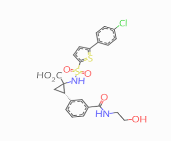 O=C(NCCO)c1cccc([C@@H]2CC2(NS(=O)(=O)c2ccc(-c3ccc(Cl)cc3)s2)C(=O)O)c1